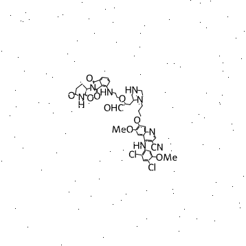 COc1cc(Nc2c(C#N)cnc3cc(OCCCN4CCNCC4CC(C=O)OCCNc4cccc5c4C(=O)N(C4CCC(=O)NC4=O)C5=O)c(OC)cc23)c(Cl)cc1Cl